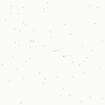 C=COCCNC(N)=O